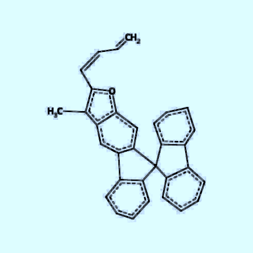 C=C/C=C\c1oc2cc3c(cc2c1C)-c1ccccc1C31c2ccccc2-c2ccccc21